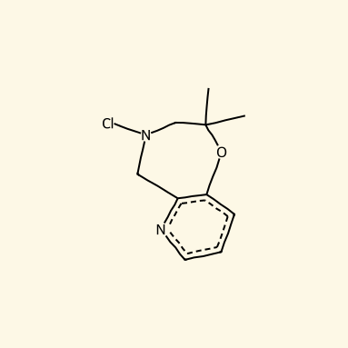 CC1(C)CN(Cl)Cc2ncccc2O1